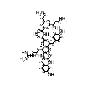 N=C(N)NCCC[C@H](NC(=O)[C@H](Cc1ccc(O)cc1)NC(=O)[C@H](CS)NC(=O)[C@H](CCCCN)NC(=O)[C@@H](N)CCN)C(=O)N[C@@H](Cc1ccc(O)cc1)C(=O)O